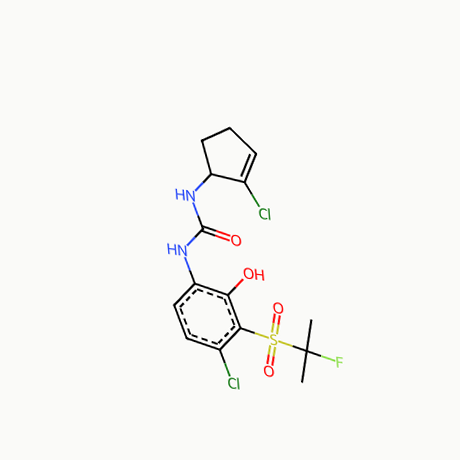 CC(C)(F)S(=O)(=O)c1c(Cl)ccc(NC(=O)NC2CCC=C2Cl)c1O